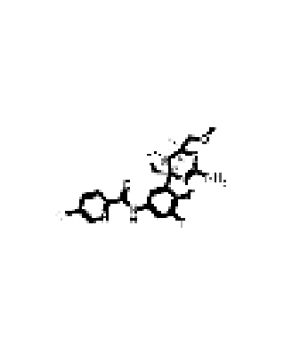 COC[C@@]1(C)SC(N)=N[C@](CF)(c2cc(NC(=O)c3ccc(Cl)cn3)cc(F)c2F)[C@@H]1C